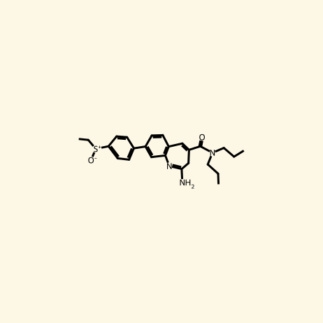 CCCN(CCC)C(=O)C1=Cc2ccc(-c3ccc([S+]([O-])CC)cc3)cc2N=C(N)C1